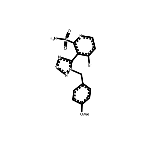 COc1ccc(Cn2nnnc2-c2c(Br)ccnc2S(N)(=O)=O)cc1